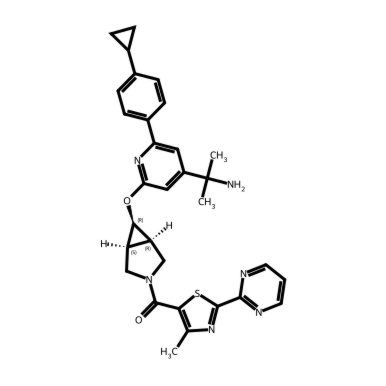 Cc1nc(-c2ncccn2)sc1C(=O)N1C[C@@H]2[C@H](C1)[C@@H]2Oc1cc(C(C)(C)N)cc(-c2ccc(C3CC3)cc2)n1